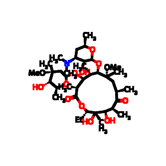 CC[C@@H]1OC(=O)[C@H](C)[C@@H](O[C@H]2C[C@@](C)(OC)[C@@H](O)[C@H](C)O2)[C@H](C)[C@@H](O[C@@H]2O[C@H](C)C[C@H](N(C)C)[C@H]2O)[C@](C)(OC)C[C@@H](C)C(=O)[C@@H](C)[C@@H](O)[C@]1(C)O